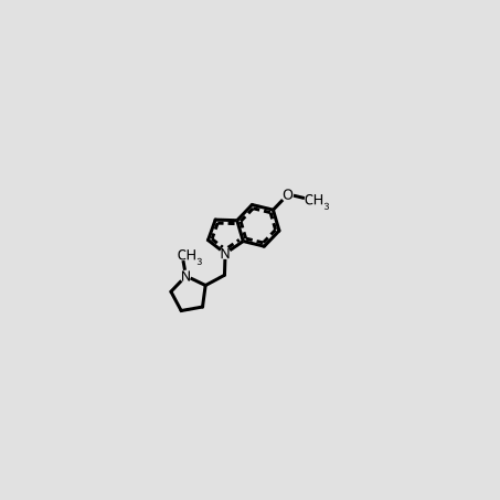 COc1ccc2c(ccn2CC2CCCN2C)c1